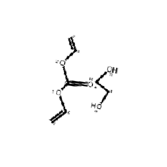 C=COC(=O)OC=C.OCCO